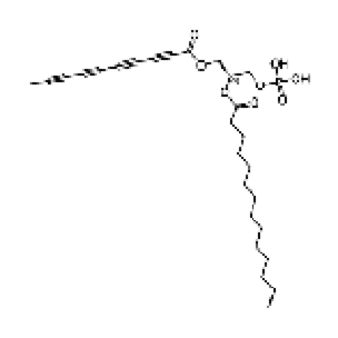 CC#CC#CC#CC#CC(=O)OC[C@@H](COP(=O)(O)O)OC(=O)CCCCCCCCCCCCC